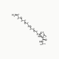 CC(C)NC(=O)[C@@H](NC(=O)CCOCCOCCOCCOCCN)C(C)C